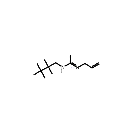 C=CC/N=C(\C)NCC(C)(C)C(C)(C)C